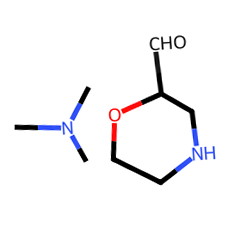 CN(C)C.O=CC1CNCCO1